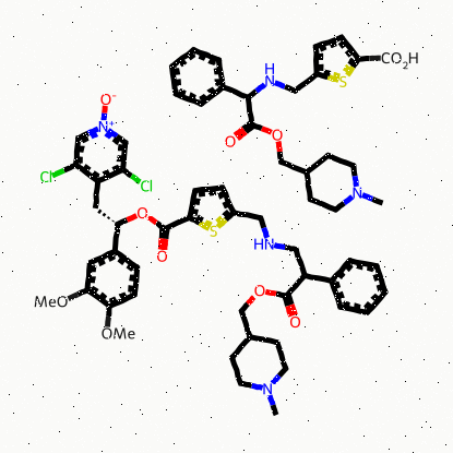 CN1CCC(COC(=O)C(NCc2ccc(C(=O)O)s2)c2ccccc2)CC1.COc1ccc([C@H](Cc2c(Cl)c[n+]([O-])cc2Cl)OC(=O)c2ccc(CNCC(C(=O)OCC3CCN(C)CC3)c3ccccc3)s2)cc1OC